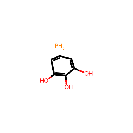 Oc1cccc(O)c1O.P